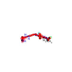 CC1(C)CCC(c2ccc(Cl)cc2)=C(CN2CCN(c3ccc(C(=O)NS(=O)(=O)c4ccc(N[C@H](CCN5CCN(CCOCCOCCOCCNCCCCNC(=O)COc6cccc7c6C(=O)N(C6CCC(=O)NC6=O)C7=O)CC5)CSc5ccccc5)c(S(=O)(=O)C(F)(F)F)c4)cc3)CC2)C1